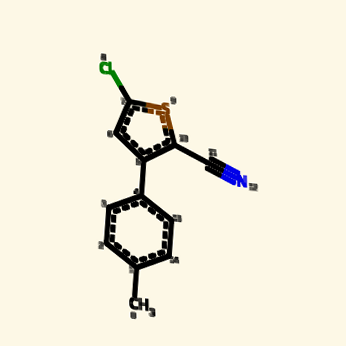 Cc1ccc(-c2cc(Cl)sc2C#N)cc1